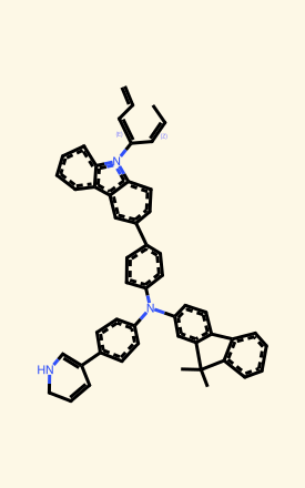 C=C/C=C(\C=C/C)n1c2ccccc2c2cc(-c3ccc(N(c4ccc(C5=CNCC=C5)cc4)c4ccc5c(c4)C(C)(C)c4ccccc4-5)cc3)ccc21